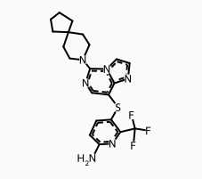 Nc1ccc(Sc2cnc(N3CCC4(CCCC4)CC3)n3ccnc23)c(C(F)(F)F)n1